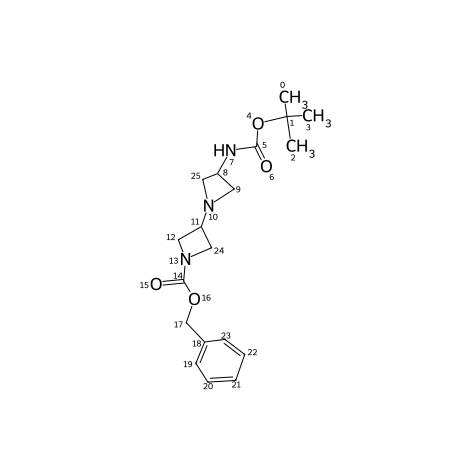 CC(C)(C)OC(=O)NC1CN(C2CN(C(=O)OCc3ccccc3)C2)C1